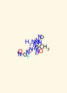 Cc1c(C(=O)N2CCC2)n(CCN2CCN(c3cc(-c4ncco4)ccc3F)CC2)c2nc(N)n3nc(-c4ccccn4)nc3c12